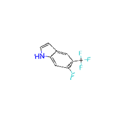 Fc1cc2[nH]ccc2cc1C(F)(F)F